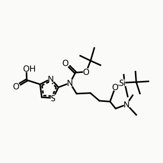 CN(C)CC(CCCN(C(=O)OC(C)(C)C)c1nc(C(=O)O)cs1)O[Si](C)(C)C(C)(C)C